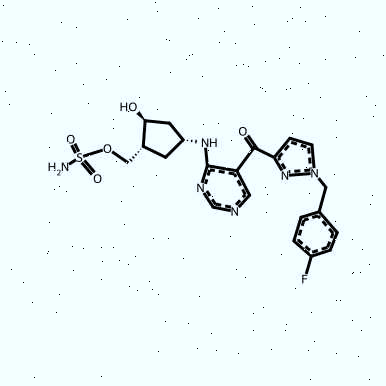 NS(=O)(=O)OC[C@H]1C[C@@H](Nc2ncncc2C(=O)c2ccn(Cc3ccc(F)cc3)n2)C[C@@H]1O